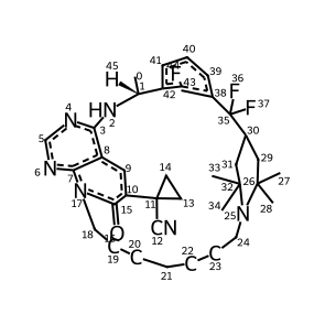 C[C@H]1Nc2ncnc3c2cc(C2(C#N)CC2)c(=O)n3CCCCCCCN2C(C)(C)CC(CC2(C)C)C(F)(F)c2cccc1c2F